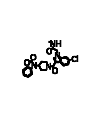 CNC(=O)Cn1cc(C(=O)N2CCC(n3c(=O)oc4ccccc43)CC2)c2ccc(Cl)cc21